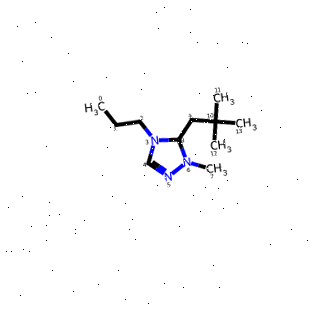 CCCN1C=NN(C)C1CC(C)(C)C